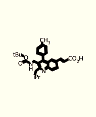 Cc1ccc(-c2c(CNC(=O)OC(C)(C)C)c(CC(C)C)nc3ccc(C=CC(=O)O)cc23)cc1